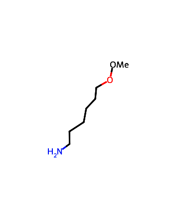 COOCCCCCCN